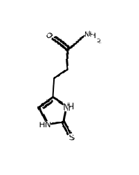 NC(=O)CCc1c[nH]c(=S)[nH]1